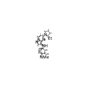 CC[C@H]1CCCN1c1ccn2ncc(NC(=O)CC(C)[C@@H](F)NC)c2n1